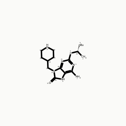 CCCC[C@H](C)Oc1nc(N)c2[nH]c(=O)n(CC3CCNCC3)c2n1